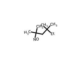 CCC(C)(C)CC(C)(C)N=O